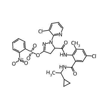 Cc1cc(Cl)cc(C(=O)NC(C)C2CC2)c1NC(=O)C1CC(OS(=O)(=O)c2ccccc2[N+](=O)[O-])=NN1c1ncccc1Cl